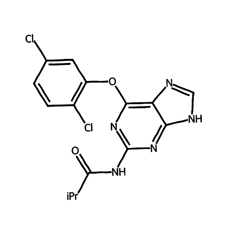 CC(C)C(=O)Nc1nc(Oc2cc(Cl)ccc2Cl)c2nc[nH]c2n1